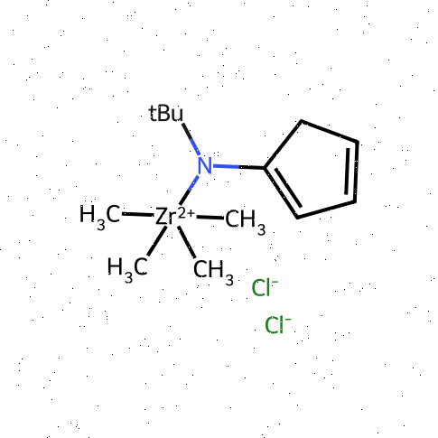 CC(C)(C)[N](C1=CC=CC1)[Zr+2]([CH3])([CH3])([CH3])[CH3].[Cl-].[Cl-]